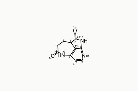 CC12CCC(=O)Nc3ncnc(c31)NC2=O